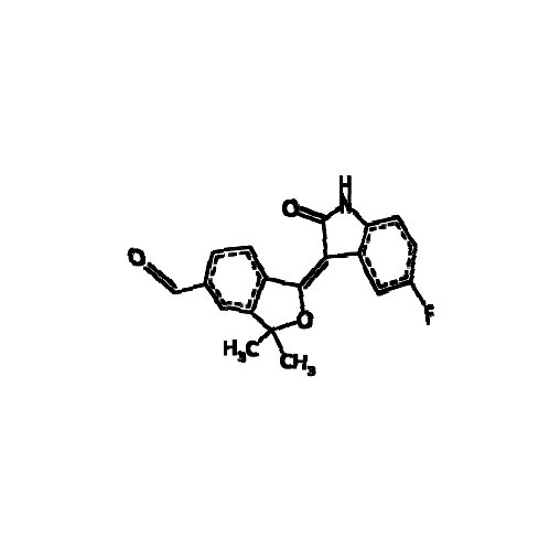 CC1(C)O/C(=C2/C(=O)Nc3ccc(F)cc32)c2ccc(C=O)cc21